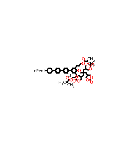 C=C(C)C(=O)OCCCc1cc(-c2ccc(-c3ccc(C4CCC(CCCCC)CC4)cc3)cc2CC)cc(CCCOC(=O)C(=C)C)c1OCC(CC1COC(=O)OC1)(CC1COC(=O)OC1)CC1COC(=O)OC1